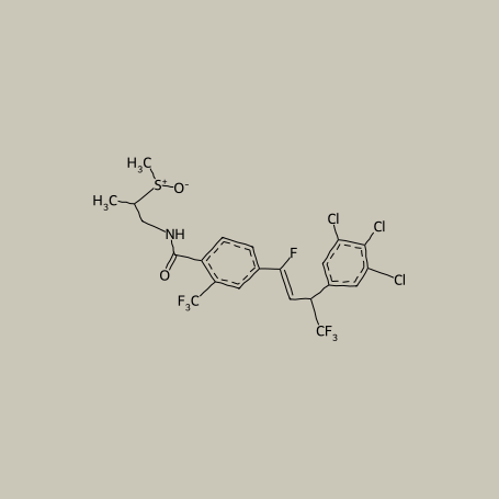 CC(CNC(=O)c1ccc(C(F)=CC(c2cc(Cl)c(Cl)c(Cl)c2)C(F)(F)F)cc1C(F)(F)F)[S+](C)[O-]